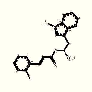 CCCCn1cc(C[C@H](NC(=O)C=Cc2ccccc2F)C(=O)O)c2ccccc21